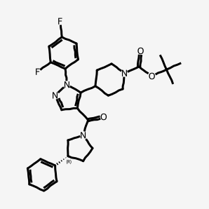 CC(C)(C)OC(=O)N1CCC(c2c(C(=O)N3CC[C@H](c4ccccc4)C3)cnn2-c2ccc(F)cc2F)CC1